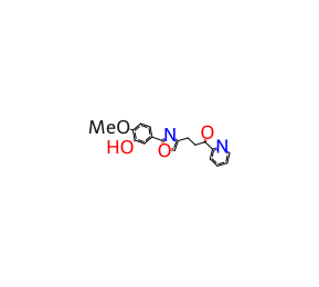 COc1ccc(-c2nc(CCC(=O)c3ccccn3)co2)cc1O